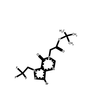 CC(C)(C)OC(=O)Cn1cnc2c(Br)nn(CC(F)(F)F)c2c1=O